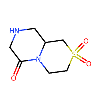 O=C1CNCC2CS(=O)(=O)CCN12